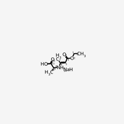 CCOC(=O)/C=C(\C)N[C@@H](C)C(=O)O.[NaH]